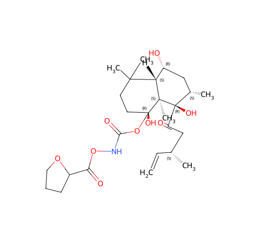 C=C[C@@H](C)CC(=O)[C@@]1(O)[C@@H](C)C[C@@H](O)[C@H]2C(C)(C)CC[C@@](O)(OC(=O)NOC(=O)C3CCCO3)[C@@]21C